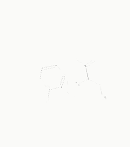 NC(CO)C(=O)O.Oc1ccccc1O